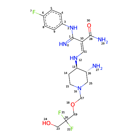 N=C(Nc1ccc(F)cc1)/C(=C\N[C@@H]1CCN(COCC(F)(F)CO)C[C@H]1N)C(N)=O